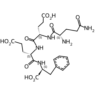 NC(=O)CC[C@H](N)C(=O)N[C@@H](CCC(=O)O)C(=O)N[C@@H](CCC(=O)O)C(=O)N[C@@H](Cc1ccccc1)C(=O)O